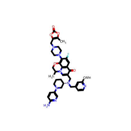 COc1cc(CN(Cc2cn3c4c(c(N5CCN(Cc6oc(=O)oc6C)CC5)c(F)cc4c2=O)OCC3C)[C@H]2CCCN(c3ccc(N)nc3)C2)ccn1